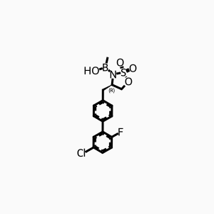 CB(O)N1[C@H](Cc2ccc(-c3cc(Cl)ccc3F)cc2)COS1(=O)=O